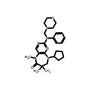 CN1C(=O)C(C)(C)CN(C2CCCC2)c2nc(N(CN3CCOCC3)c3ccccc3)ncc21